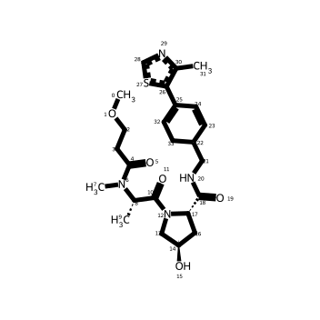 COCCC(=O)N(C)[C@@H](C)C(=O)N1C[C@H](O)C[C@H]1C(=O)NCC1C=CC(c2scnc2C)=CC1